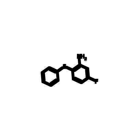 Nc1cc(F)ccc1Sc1ccccc1